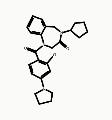 O=C(c1ccc(N2CCCC2)cc1Cl)N1CC(=O)N(C2CCCC2)Cc2ccccc21